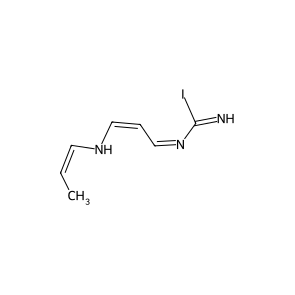 C/C=C\N/C=C\C=N/C(=N)I